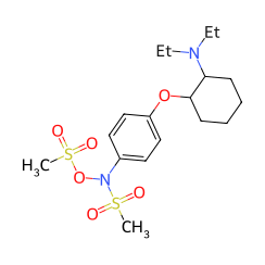 CCN(CC)C1CCCCC1Oc1ccc(N(OS(C)(=O)=O)S(C)(=O)=O)cc1